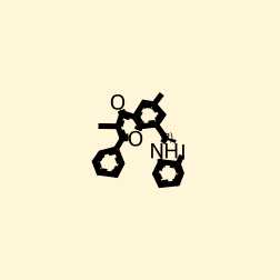 Cc1cc([C@@H](C)Nc2ccccc2I)c2oc(-c3ccccc3)c(C)c(=O)c2c1